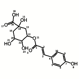 O=C(/C=C/c1ccc(O)cc1)OC1CC(O)(C(=O)O)CC(O)C1O